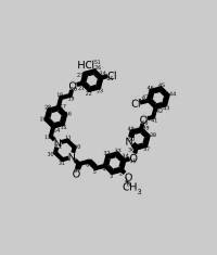 COc1cc(C=CC(=O)N2CCN(Cc3ccc(CCOc4ccc(Cl)cc4)cc3)CC2)ccc1Oc1ccc(OCc2ccccc2Cl)cn1.Cl